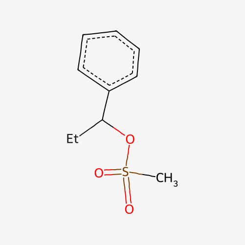 [CH2]CC(OS(C)(=O)=O)c1ccccc1